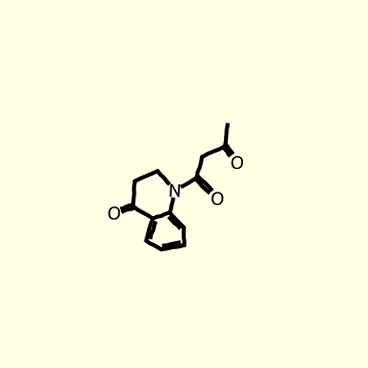 CC(=O)CC(=O)N1CCC(=O)c2ccccc21